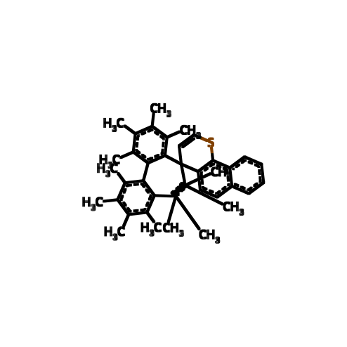 Cc1c(C)c(C)c2c(c1C)-c1c(C)c(C)c(C)c(C)c1C1(C=CSc3c1ccc1ccccc31)c1c(C)c(C)c(C)c(C)c1-2